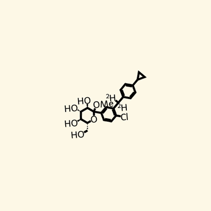 [2H]C([2H])(c1ccc(C2CC2)cc1)c1cc(C2(OC)O[C@H](CO)[C@@H](O)[C@H](O)[C@H]2O)ccc1Cl